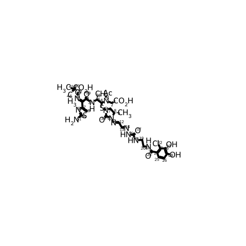 CC(=O)N(CC(=O)O)C(SN1C[C@H](C)N(/N=C/C=N/NC(=O)NCCNC(=O)c2ccc(O)c(O)c2Cl)C1=O)[C@@H](C)NC(=O)/C(=N\OC(C)(C)C(=O)O)c1csc(N)n1